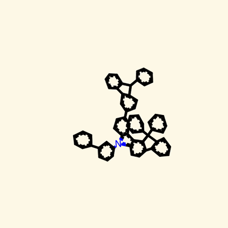 c1ccc(-c2cccc(-n3c4ccc(-c5ccc6c(c5)-c5ccccc5C6c5ccccc5)cc4c4c5c(ccc43)-c3ccccc3C5(c3ccccc3)c3ccccc3)c2)cc1